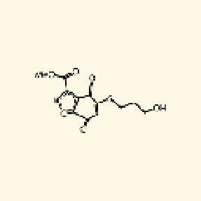 COC(=O)c1noc2c1C(=O)C(SCCCO)=CC2=O